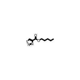 CCCCCOC(=O)c1csnn1